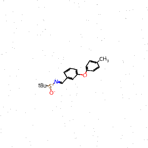 Cc1ccc(Oc2cccc(C=N[S+]([O-])C(C)(C)C)c2)cc1